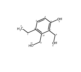 CCc1ccc(O)c(CO)c1CO